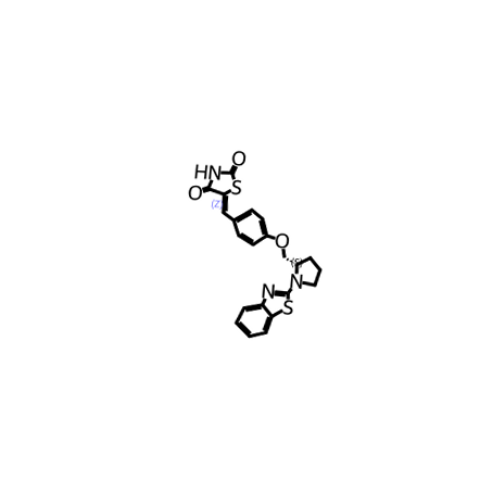 O=C1NC(=O)/C(=C/c2ccc(OC[C@@H]3CCCN3c3nc4ccccc4s3)cc2)S1